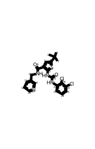 CC(C)(C)c1cc(C(=O)NCc2cccnc2)c(NC(=O)Nc2cccc(Cl)c2Cl)s1